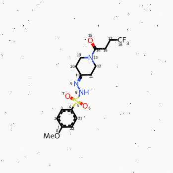 COc1ccc(S(=O)(=O)NN=C2CCN(C(=O)CCC(F)(F)F)CC2)cc1